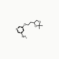 CC1(C)OCC(CCOc2cncc(N)c2)O1